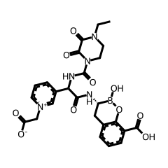 CCN1CCN(C(=O)NC(C(=O)N[C@H]2Cc3cccc(C(=O)O)c3OB2O)c2ccc[n+](CC(=O)[O-])c2)C(=O)C1=O